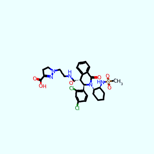 CS(=O)(=O)N[C@H]1CCCC[C@@H]1N1C(=O)c2ccccc2[C@@H](C(=O)NCCN2CCC(C(=O)O)=N2)[C@@H]1c1ccc(Cl)cc1Cl